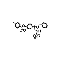 Cc1ccc(S(=O)(=O)Oc2ccc(C(C)(CNC(=O)OC(C)(C)C)OCc3ccccc3)cc2)cc1